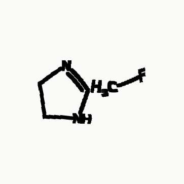 C1=NCCN1.CF